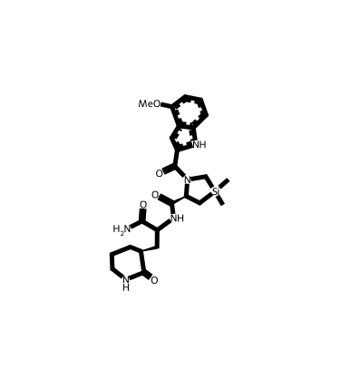 COc1cccc2[nH]c(C(=O)N3C[Si](C)(C)C[C@H]3C(=O)NC(C[C@@H]3CCCNC3=O)C(N)=O)cc12